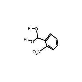 CCOC(OCC)c1ccccc1[N+](=O)[O-]